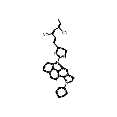 C\C=C(C#N)/C=C(C#N)\C=C\c1ccnc(-n2c3cccc4ccc5c(c43)c2cc2ccn(-c3ccccc3)c25)n1